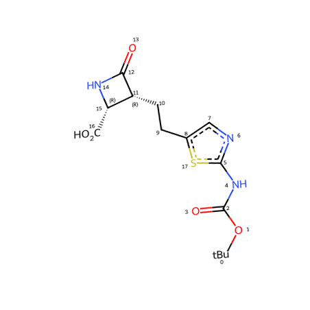 CC(C)(C)OC(=O)Nc1ncc(CC[C@H]2C(=O)N[C@H]2C(=O)O)s1